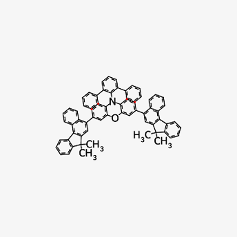 CC1(C)c2ccccc2-c2c1cc(-c1ccc3c(c1)Oc1cc(-c4cc5c(c6ccccc46)-c4ccccc4C5(C)C)ccc1N3c1c(-c3ccccc3)cccc1-c1ccccc1)c1ccccc21